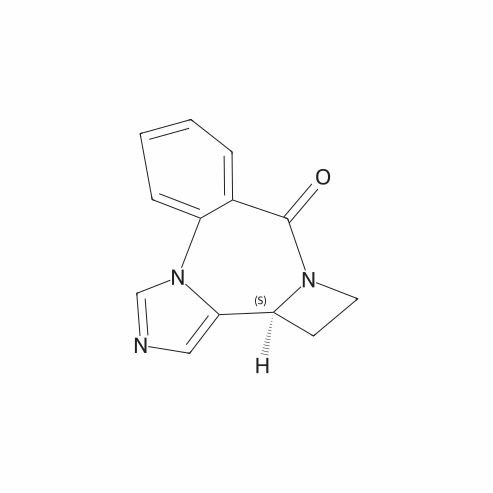 O=C1c2ccccc2-n2cncc2[C@@H]2CCN12